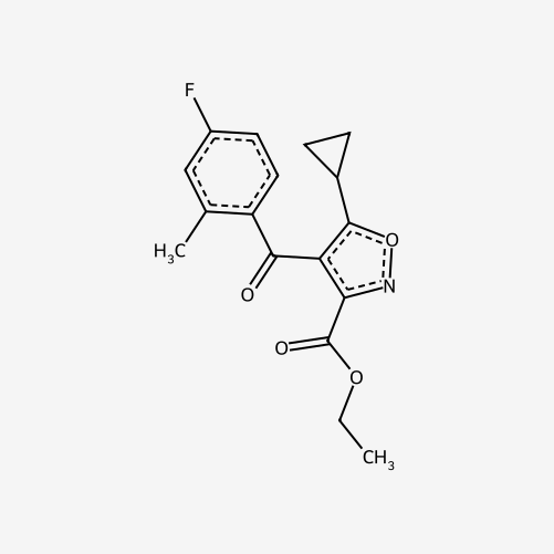 CCOC(=O)c1noc(C2CC2)c1C(=O)c1ccc(F)cc1C